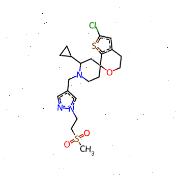 CS(=O)(=O)CCn1cc(CN2CCC3(CC2C2CC2)OCCc2cc(Cl)sc23)cn1